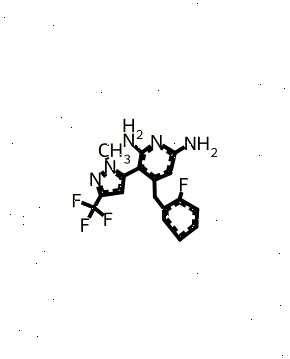 Cn1nc(C(F)(F)F)cc1-c1c(Cc2ccccc2F)cc(N)nc1N